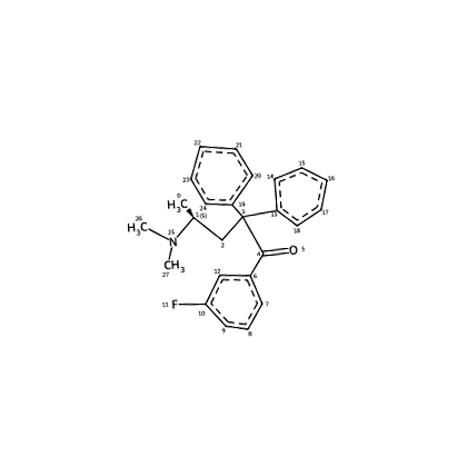 C[C@@H](CC(C(=O)c1cccc(F)c1)(c1ccccc1)c1ccccc1)N(C)C